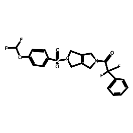 O=C(N1CC2=C(C1)CN(S(=O)(=O)c1ccc(OC(F)F)cc1)C2)C(F)(F)c1ccccc1